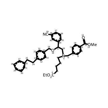 CCOC(=O)CCCCN(Cc1ccc(C(=O)OC)cc1)CC(OCc1ccc(CCc2ccccc2)cc1)c1cccc(C#N)c1